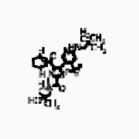 CC(C)(C)CNc1cc(C(F)(F)F)c(-c2sc(C(=O)NCC(C)(C)O)nc2C(=O)N2[C@H]3CC[C@H]2CC3)cn1